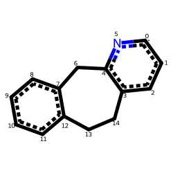 [c]1ccc2c(n1)Cc1ccccc1CC2